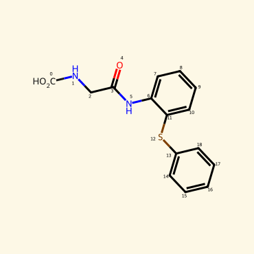 O=C(O)NCC(=O)Nc1ccccc1Sc1ccccc1